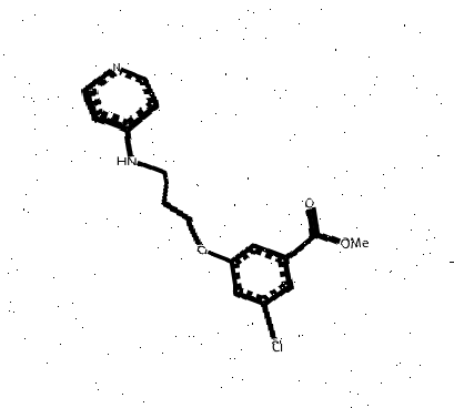 COC(=O)c1cc(Cl)cc(OCCCNc2ccncc2)c1